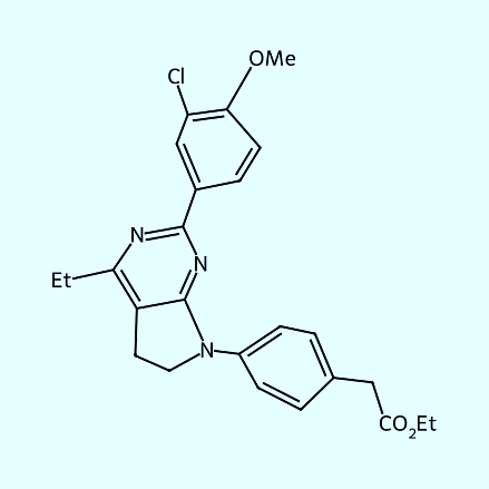 CCOC(=O)Cc1ccc(N2CCc3c(CC)nc(-c4ccc(OC)c(Cl)c4)nc32)cc1